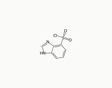 O=S(=O)(Cl)c1cccc2[nH][c]nc12